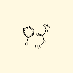 COC(=O)OC.Clc1ccccc1